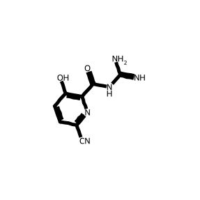 N#Cc1ccc(O)c(C(=O)NC(=N)N)n1